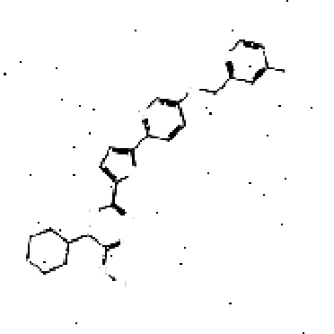 CNC(=O)[C@@H](NC(=O)c1ccc(-c2ccc(OCc3cc(C)ccn3)cn2)o1)C1CCCCC1